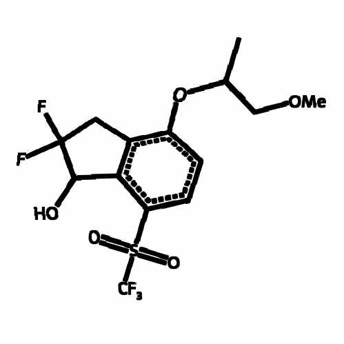 COCC(C)Oc1ccc(S(=O)(=O)C(F)(F)F)c2c1CC(F)(F)C2O